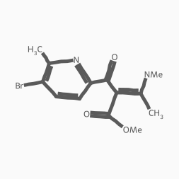 CN/C(C)=C(/C(=O)OC)C(=O)c1ccc(Br)c(C)n1